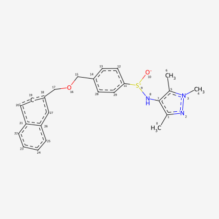 Cc1nn(C)c(C)c1N[S+]([O-])c1ccc(COCc2ccc3ccccc3c2)cc1